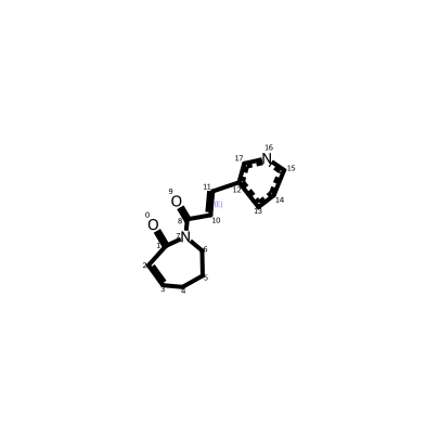 O=C1C=CCCCN1C(=O)/C=C/c1cccnc1